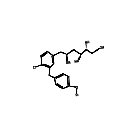 CCOc1ccc(Cc2cc(C[C@H](O)C[C@H](O)[C@H](O)CO)ccc2Cl)cc1